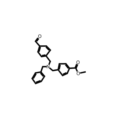 COC(=O)c1ccc(CN(Cc2ccccc2)Cc2ccc(C=O)cc2)cc1